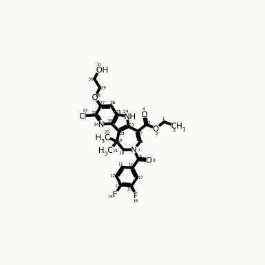 CCOC(=O)C1=CN(C(=O)c2ccc(F)c(F)c2)CC(C)(C)c2c1[nH]c1cc(OCCO)c(Cl)nc21